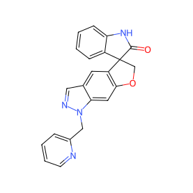 O=C1Nc2ccccc2C12COc1cc3c(cnn3Cc3ccccn3)cc12